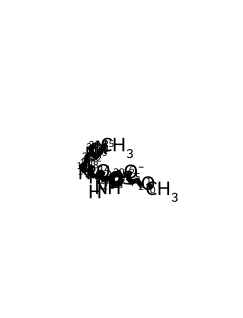 COCCC[S+]([O-])c1ccc(C(=N)C(=O)Nc2ncc(CN3CCN(C)CC3)s2)cc1